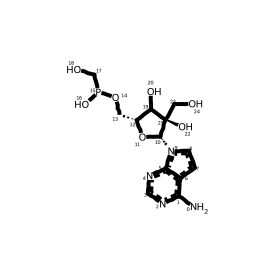 Nc1ncnc2c1ccn2[C@@H]1O[C@H](COP(O)CO)C(O)[C@]1(O)CO